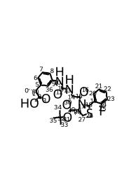 C[C@@H](C(=O)O)c1cccc(NC(=O)NCC(=O)N2C(c3ccccc3F)SC[C@H]2C(=O)OC(C)(C)C)c1